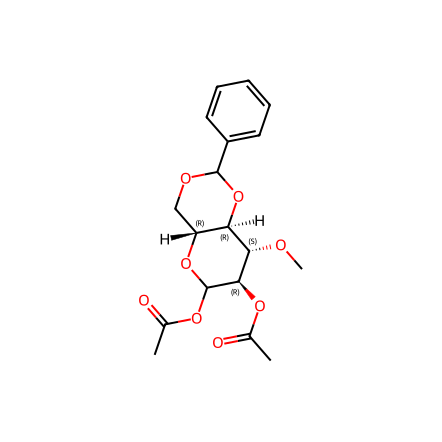 CO[C@H]1[C@@H]2OC(c3ccccc3)OC[C@H]2OC(OC(C)=O)[C@@H]1OC(C)=O